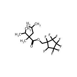 CC(C)CC(C)(C(=O)OCC1(F)C(F)C(F)(F)C(F)(F)C1(F)F)C(C)C